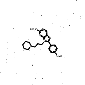 COc1ccc(-c2nc3cnc(C(=O)O)nc3n2CCCN2CCCCC2)cc1